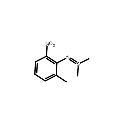 Cc1cccc([N+](=O)[O-])c1N=S(C)C